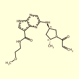 C=CC(=O)N1C[C@H](Nc2cnc3[nH]cc(C(=O)NCCOC)c3n2)C[C@H]1C